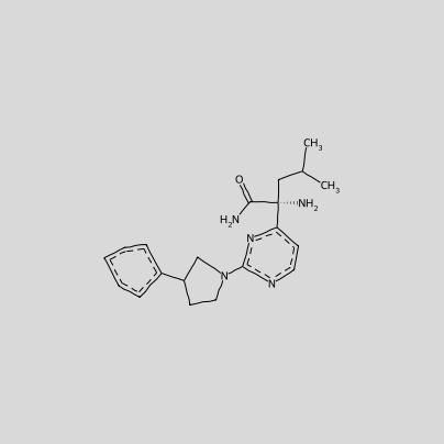 CC(C)C[C@](N)(C(N)=O)c1ccnc(N2CCC(c3ccccc3)C2)n1